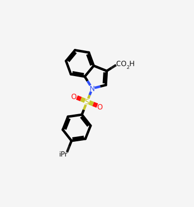 CC(C)c1ccc(S(=O)(=O)n2cc(C(=O)O)c3ccccc32)cc1